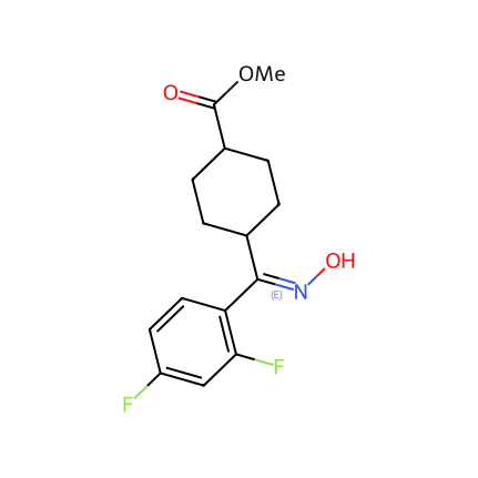 COC(=O)C1CCC(/C(=N\O)c2ccc(F)cc2F)CC1